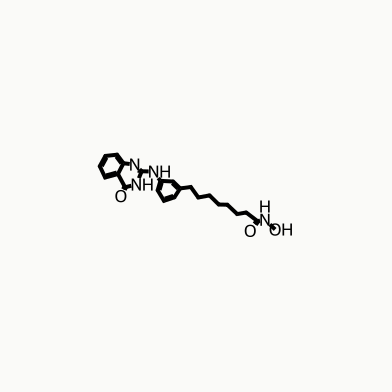 O=C(CCCCCCCc1cccc(Nc2nc3ccccc3c(=O)[nH]2)c1)NO